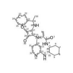 C=CC(=O)N[C@@H]1CCCC[C@@H]1Nc1cc(Nc2c(NC(C)c3ccccc3)c(=O)c2=O)ccn1